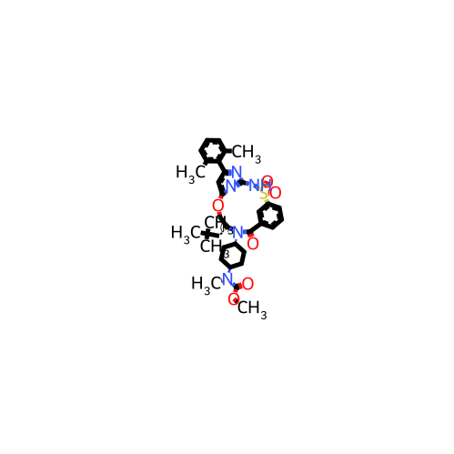 COC(=O)N(C)[C@H]1CC[C@H](N2C(=O)c3cccc(c3)S(=O)(=O)Nc3nc(cc(-c4c(C)cccc4C)n3)OC[C@H]2CC(C)(C)C)CC1